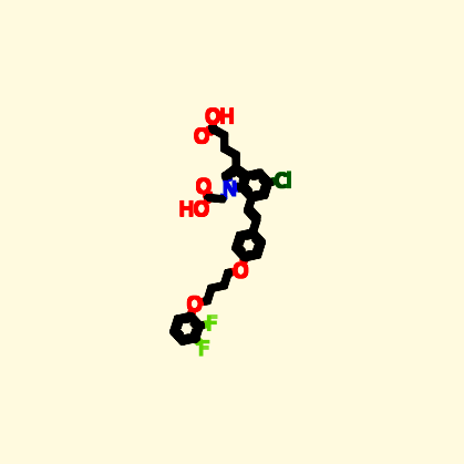 O=C(O)CCCc1cn(CC(=O)O)c2c(C=Cc3ccc(OCCCCOc4cccc(F)c4F)cc3)cc(Cl)cc12